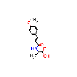 COc1ccc(/C=C/C(=O)NC(C)C(=O)O)cc1